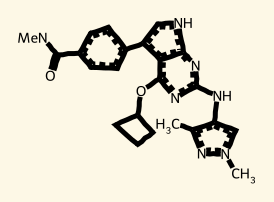 CNC(=O)c1ccc(-c2c[nH]c3nc(Nc4cn(C)nc4C)nc(OC4CCC4)c23)cc1